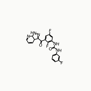 O=C(Nc1cccc(F)c1)Nc1cc(F)cc(C(=O)C2=NNC3N=CC=CC23)c1F